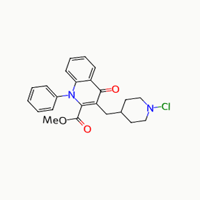 COC(=O)c1c(CC2CCN(Cl)CC2)c(=O)c2ccccc2n1-c1ccccc1